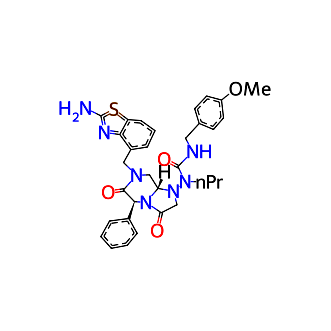 CCCN(C(=O)NCc1ccc(OC)cc1)N1CC(=O)N2[C@@H](c3ccccc3)C(=O)N(Cc3cccc4sc(N)nc34)C[C@@H]21